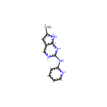 O=Cc1cc2cnc(Nc3ccccn3)nc2[nH]1